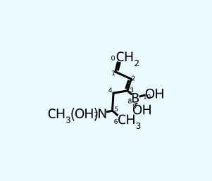 C=C/C=C(\CC(C)N(C)O)B(O)O